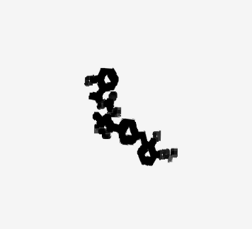 Cc1noc(-c2ccc(Cc3cccc(C(=O)O)c3Cl)cc2)c1NC(=O)OC(C)c1ccccc1Cl